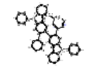 C=C/C=C(\C=C/C)c1cc2c(cc1-c1cc3c4ccccc4n(-c4ccccc4)c3cc1-c1ccccc1)c1ccccc1n2-c1ccccc1